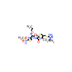 C=CCO/N=C(\C(=O)NC1C(=O)N2C(C(=O)O)=C(CSc3nnnn3C)CS[C@H]12)c1csc(NS(C)(=O)=O)n1